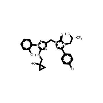 O=c1n(Cc2nc(NCC3(O)CC3)n(-c3ccccc3Cl)n2)nc(-c2ccc(Cl)cc2)n1C[C@H](O)C(F)(F)F